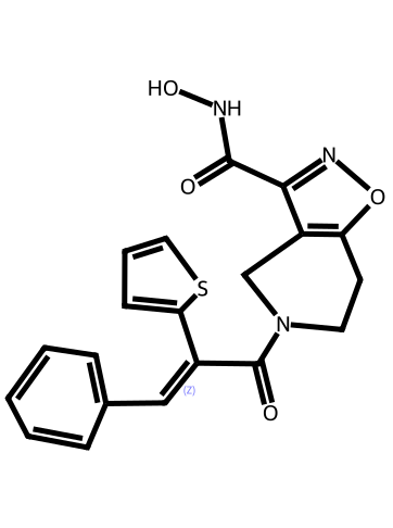 O=C(NO)c1noc2c1CN(C(=O)/C(=C/c1ccccc1)c1cccs1)CC2